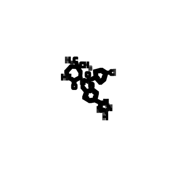 CC1(C)CCNC(=O)C(N(Cc2ccc(-c3nn[nH]n3)cc2)S(=O)(=O)c2ccc(Cl)cc2)C1